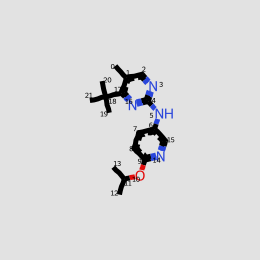 Cc1cnc(Nc2ccc(OC(C)C)nc2)nc1C(C)(C)C